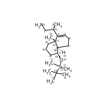 C[C@H](CN)C1=CCC[C@H]2[C@@H](O[Si](C)(C)C(C)(C)C)CCC[C@]12C